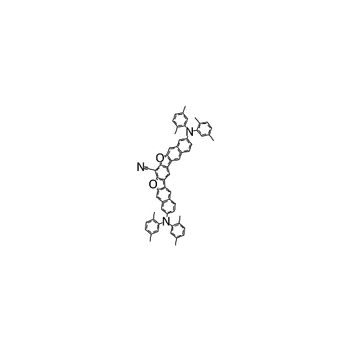 Cc1ccc(C)c(N(c2ccc3cc4c(cc3c2)oc2c(C#N)c3oc5cc6cc(N(c7cc(C)ccc7C)c7cc(C)ccc7C)ccc6cc5c3cc24)c2cc(C)ccc2C)c1